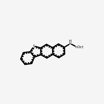 CCCCCCCCNc1ccc2cc3c(cc2c1)sc1ccccc13